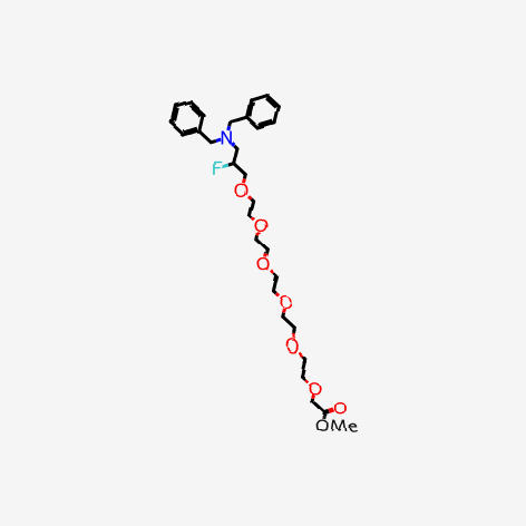 COC(=O)COCCOCCOCCOCCOCCOCC(F)CN(Cc1ccccc1)Cc1ccccc1